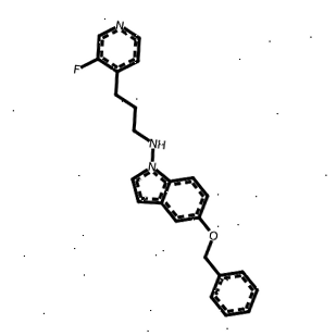 Fc1cnccc1CCCNn1ccc2cc(OCc3ccccc3)ccc21